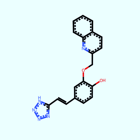 Oc1ccc(C=Cc2nnn[nH]2)cc1OCc1ccc2ccccc2n1